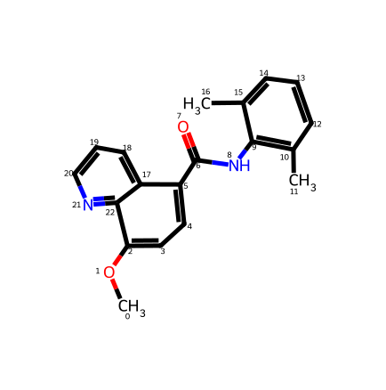 COc1ccc(C(=O)Nc2c(C)cccc2C)c2cccnc12